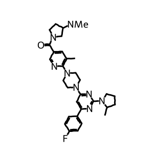 CNC1CCN(C(=O)c2cnc(N3CCN(c4cc(-c5ccc(F)cc5)nc(N5CCCC5C)n4)CC3)c(C)c2)C1